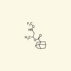 CC(CNOC(F)(F)F)OC(=O)C12CC3CC(CC(C3)C1)C2